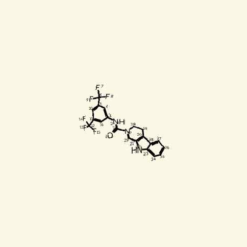 O=C(Nc1cc(C(F)(F)F)cc(C(F)(F)F)c1)N1CCc2c([nH]c3ccccc23)C1